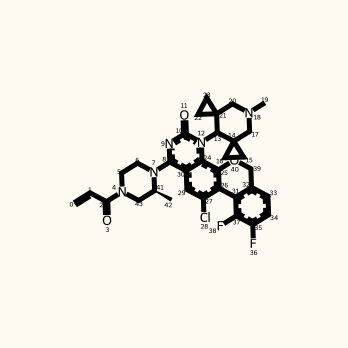 C=CC(=O)N1CCN(c2nc(=O)n(C3C4(CC4)CN(C)CC34CC4)c3c4c(c(Cl)cc23)-c2c(ccc(F)c2F)CO4)[C@@H](C)C1